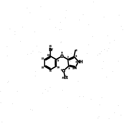 CCOc1n[nH]c(C)c1Oc1ccccc1Br